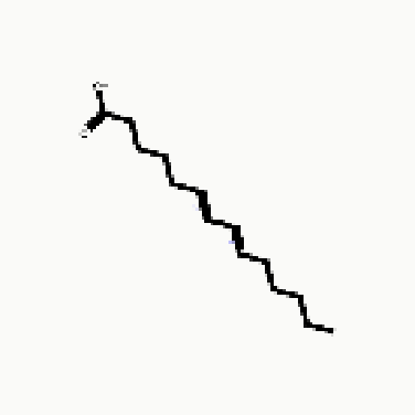 CCCCC/C=C/C=C/CCCCC(=O)O